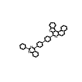 c1ccc(-c2nc(-c3ccc(-c4ccc(-c5nc6ccc7ccccc7c6c6c5sc5ccccc56)cc4)cc3)c3ccccc3n2)cc1